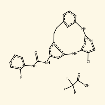 O=C(Nc1cc2cc(c1)Nc1nc(ncc1Cl)Nc1cccc(c1)CC2)Nc1ccccc1F.O=C(O)C(F)(F)F